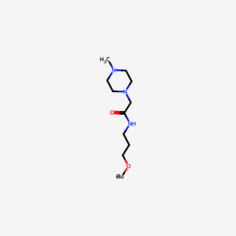 CCC(C)OCCCNC(=O)CN1CCN(C)CC1